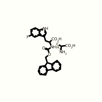 CC(N)C(=O)O.O=C(NC(Cc1c[nH]c2ccc(F)cc12)C(=O)O)OCC1c2ccccc2-c2ccccc21